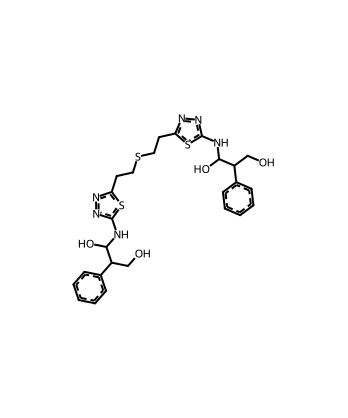 OCC(c1ccccc1)C(O)Nc1nnc(CCSCCc2nnc(NC(O)C(CO)c3ccccc3)s2)s1